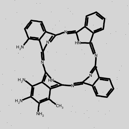 Cc1c(N)c(N)c(N)c2c3nc4nc(nc5[nH]c(nc6nc(nc([nH]3)c12)-c1ccccc1-6)c1ccccc51)-c1cccc(N)c1-4